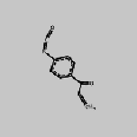 C=CC(=O)c1ccc(N=C=O)cc1